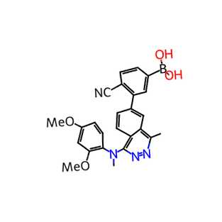 COc1ccc(N(C)c2nnc(C)c3cc(-c4cc(B(O)O)ccc4C#N)ccc23)c(OC)c1